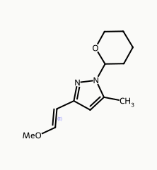 CO/C=C/c1cc(C)n(C2CCCCO2)n1